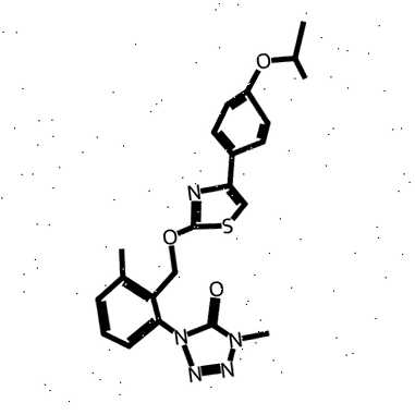 Cc1cccc(-n2nnn(C)c2=O)c1COc1nc(-c2ccc(OC(C)C)cc2)cs1